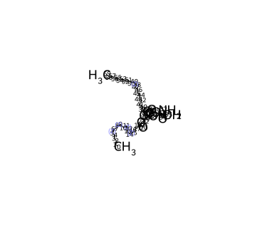 CCCCC/C=C\C/C=C\C/C=C\C/C=C\CCCC(=O)OC[C@H](COP(=O)(O)OC[C@H](N)C(=O)O)OC(=O)CCCCCCCCC/C=C\CCCCCCCCCC